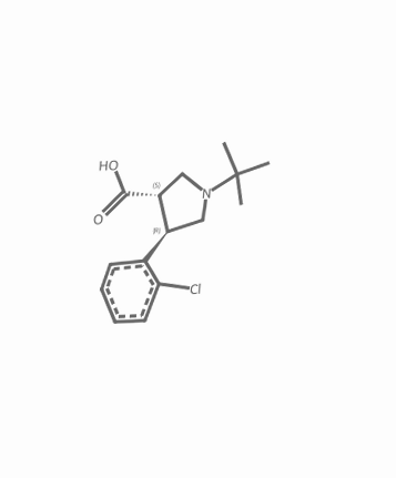 CC(C)(C)N1C[C@@H](C(=O)O)[C@H](c2ccccc2Cl)C1